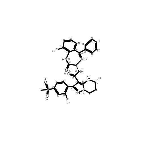 C[C@@H]1CCn2nc(-c3ccc(S(C)(=O)=O)cc3F)c(C(=O)N[C@H]3N=C(c4ccccc4)c4cccc(F)c4NC3=O)c2O1